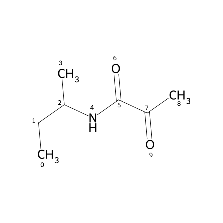 CCC(C)NC(=O)C(C)=O